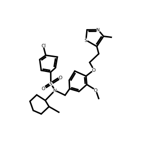 COc1cc(CN(C2CCCCC2C)S(=O)(=O)c2ccc(Cl)cc2)ccc1OCCc1scnc1C